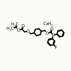 CC(C)OC(=O)COCC1CCC(COC(=O)N(c2ccccc2)c2cccc(F)c2)CC1.[CaH2]